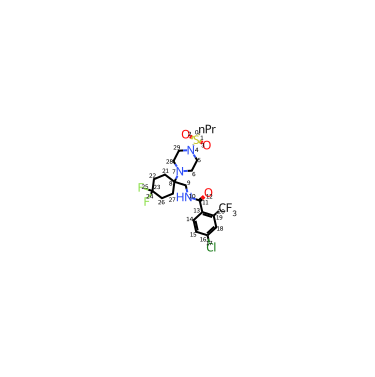 CCCS(=O)(=O)N1CCN(C2(CNC(=O)c3ccc(Cl)cc3C(F)(F)F)CCC(F)(F)CC2)CC1